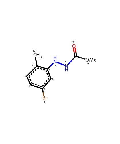 COC(=O)NNc1cc(Br)ccc1C